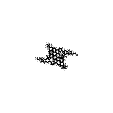 C/C=C\c1c2c(-c3ccc(CCCCCC)s3)cc3cc(C(C)(C)C)cc4cc(-c5ccc(CCCCCC)s5)c(c5ccc6c(cc7c(-c8ccc(CCCCCC)s8)cc8cc(C(C)(C)C)cc9cc(-c%10ccc(CCCCCC)s%10)c6c7c89)c15)c2c34